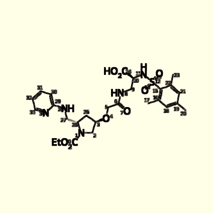 CCOC(=O)N1C[C@H](OCC(=O)NC[C@H](NS(=O)(=O)c2c(C)cc(C)cc2C)C(=O)O)C[C@H]1CNc1ccccn1